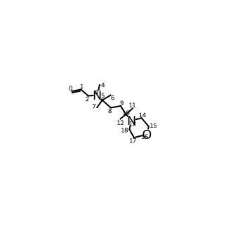 C=CCN(C)C(C)(C)CCC(C)(C)N1CCOCC1